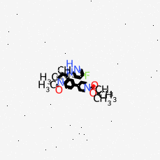 CC(=O)N1c2ccc(C3CCN(C(=O)OC(C)(C)C)CC3)cc2[C@H](Nc2ccc(F)cn2)[C@@H](C)[C@@H]1C